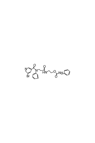 O=C(CCN(C(=O)c1cncc(Br)c1)c1ccccc1)NCCOC(=O)NCc1ccccc1